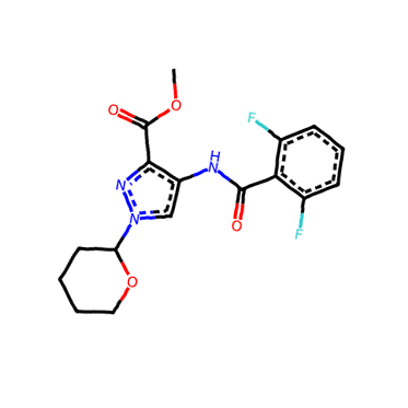 COC(=O)c1nn(C2CCCCO2)cc1NC(=O)c1c(F)cccc1F